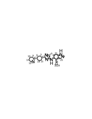 Cn1nc(-c2ccc(-c3ccccn3)cc2)nc1Nc1ccc2[nH]ncc2c1C1CC1